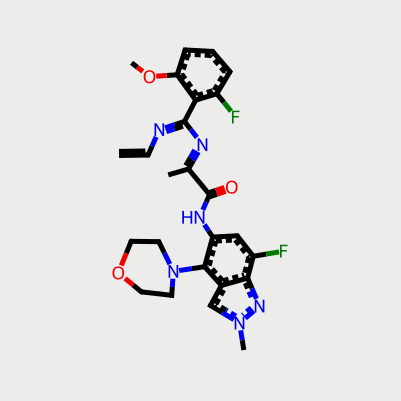 C=C/N=C(\N=C(/C)C(=O)Nc1cc(F)c2nn(C)cc2c1N1CCOCC1)c1c(F)cccc1OC